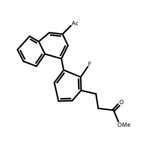 COC(=O)CCc1cccc(-c2cc(C(C)=O)cc3ccccc23)c1F